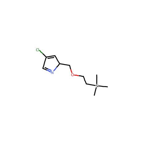 C[Si](C)(C)CCOCC1C=C(Cl)C=N1